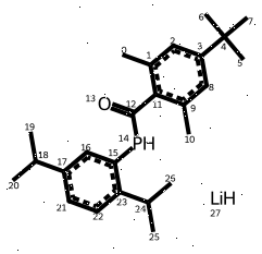 Cc1cc(C(C)(C)C)cc(C)c1C(=O)Pc1cc(C(C)C)ccc1C(C)C.[LiH]